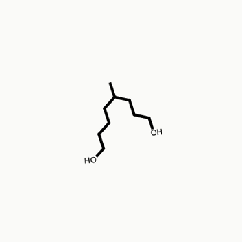 CC(CCCO)CCCCO